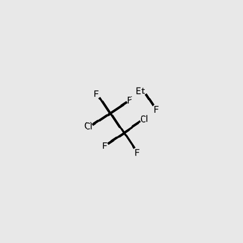 CCF.FC(F)(Cl)C(F)(F)Cl